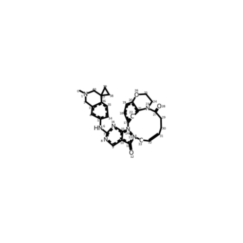 CN1Cc2cc(Nc3ncc4c(=O)n5n(c4n3)-c3ccc4c(c3)N(CCO4)C(=O)CC/C=C\C5)ccc2C2(CC2)C1